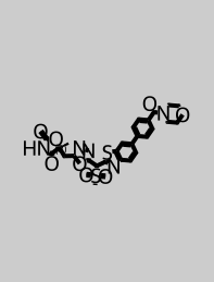 C[C@]1(Cc2nnc(C(c3nc4ccc(-c5ccc(C(=O)N6CCOCC6)cc5)cc4s3)S(C)(=O)=O)o2)OC(=O)NC1=O